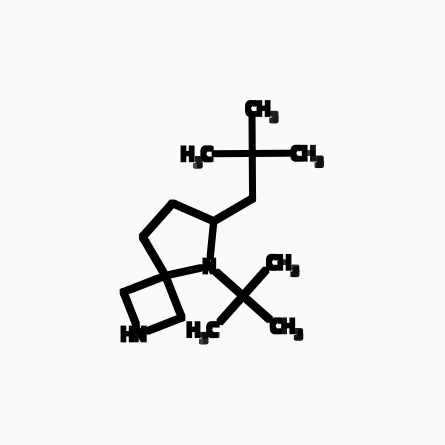 CC(C)(C)CC1CCC2(CNC2)N1C(C)(C)C